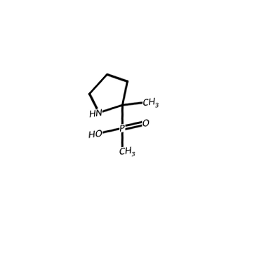 CC1(P(C)(=O)O)CCCN1